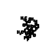 CCC(OC)C(=O)N[C@@H](CC(C)C)C(=O)N[C@@H](C[C@@H]1CCNC1=O)C(=O)COC(F)(F)F